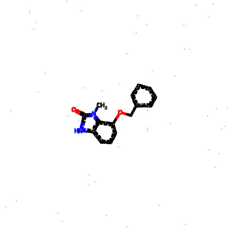 Cn1c(=O)[nH]c2cccc(OCc3ccccc3)c21